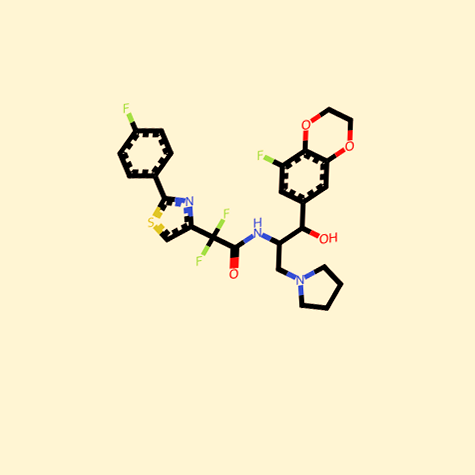 O=C(NC(CN1CCCC1)C(O)c1cc(F)c2c(c1)OCCO2)C(F)(F)c1csc(-c2ccc(F)cc2)n1